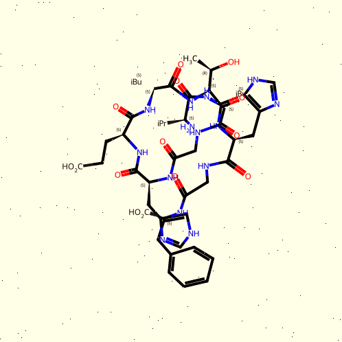 CC[C@H](C)[C@H](NC(=O)[C@H](CCC(=O)O)NC(=O)[C@H](Cc1c[nH]cn1)NC(=O)CNC(=O)[C@@H](NC(=O)[C@@H](N)C(C)C)[C@@H](C)CC)C(=O)N[C@H](C(=O)N[C@@H](Cc1c[nH]cn1)C(=O)NCC(=O)N[C@@H](Cc1ccccc1)C(=O)O)[C@@H](C)O